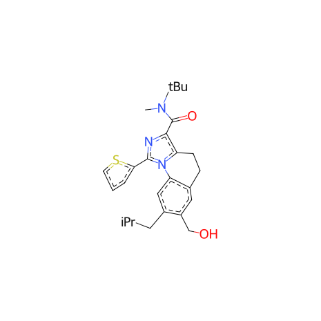 CC(C)Cc1cc2c(cc1CO)CCc1c(C(=O)N(C)C(C)(C)C)nc(-c3cccs3)n1-2